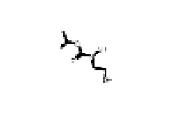 CC(C)OC(=O)N(S)CCO